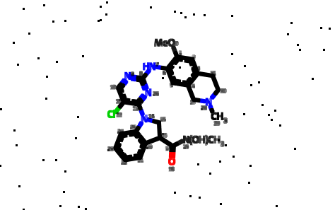 COc1cc2c(cc1Nc1ncc(Cl)c(N3CC(C(=O)N(C)O)c4ccccc43)n1)CN(C)CC2